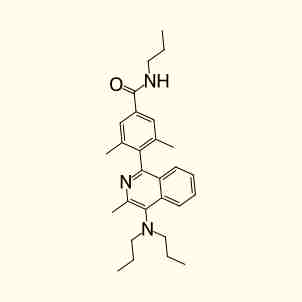 CCCNC(=O)c1cc(C)c(-c2nc(C)c(N(CCC)CCC)c3ccccc23)c(C)c1